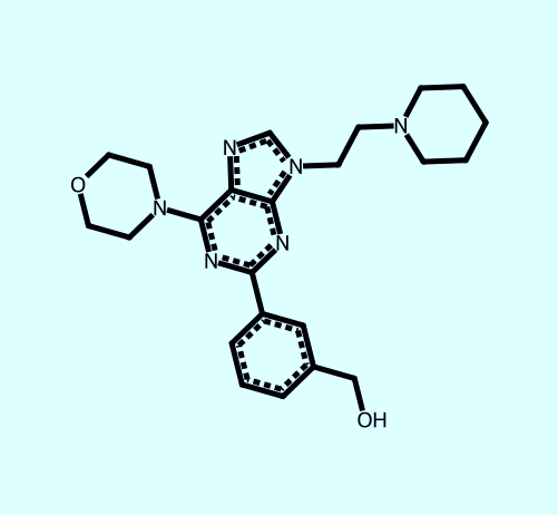 OCc1cccc(-c2nc(N3CCOCC3)c3ncn(CCN4CCCCC4)c3n2)c1